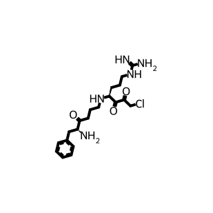 N=C(N)NCCC[C@H](NCCCC(=O)[C@H](N)Cc1ccccc1)C(=O)C(=O)CCl